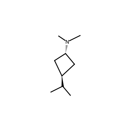 CC(C)[C@H]1C[C@H](N(C)C)C1